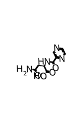 NC(=O)C[C@@H](NC(=O)c1cnccn1)C(=O)O